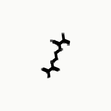 C=C(C)C(=C)OCCOC(=O)C(=C)C